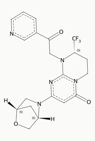 O=C(CN1c2nc(N3C[C@@H]4C[C@H]3CO4)cc(=O)n2CC[C@H]1C(F)(F)F)c1cccnc1